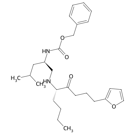 CCCC[C@H](NC[C@@H](CC(C)C)NC(=O)OCc1ccccc1)C(=O)CCCc1ccco1